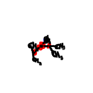 CCCCCCCCC(CCCCCC)C(=O)OCCCCCOC(=O)C[C@H](OC(=O)OCCCCCOC(=O)C(CCCCCC)CCCCCCCC)C(=O)OCCCN(C)C